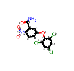 NC(=O)c1cc(Oc2c(Cl)cc(Cl)cc2Cl)ccc1[N+](=O)[O-]